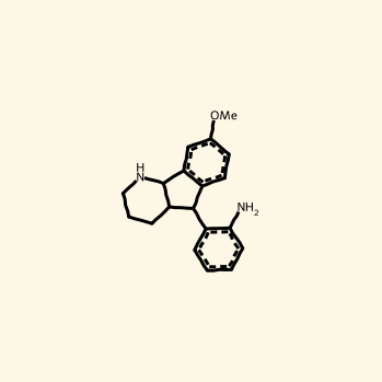 COc1ccc2c(c1)C1NCCCC1C2c1ccccc1N